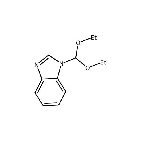 CCOC(OCC)n1cnc2ccccc21